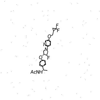 CC(=O)N[C@@H](C)c1ccc(O[C@H]2CN(c3ccc(OCC4CC4(F)F)cn3)C[C@H]2F)cc1